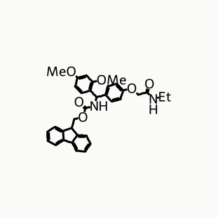 CCNC(=O)COc1ccc(C(NC(=O)OCC2c3ccccc3-c3ccccc32)c2ccc(OC)cc2OC)cc1